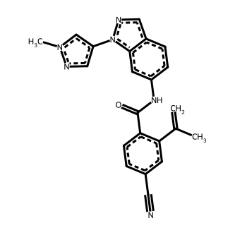 C=C(C)c1cc(C#N)ccc1C(=O)Nc1ccc2cnn(-c3cnn(C)c3)c2c1